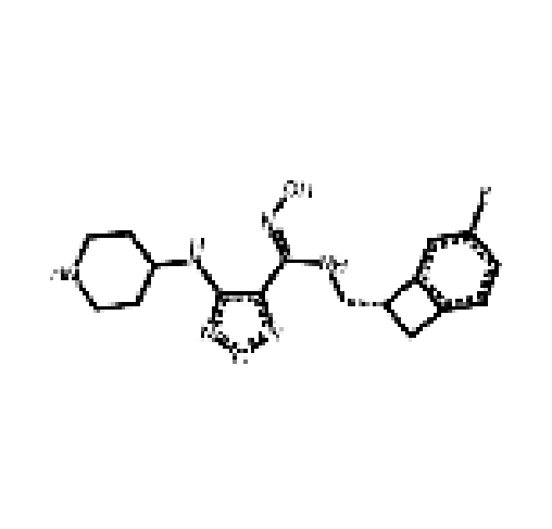 O/N=C(\NC[C@H]1Cc2ccc(F)cc21)c1nonc1NC1CCNCC1